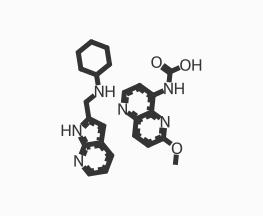 COc1ccc2nccc(NC(=O)O)c2n1.c1cnc2[nH]c(CNC3CCCCC3)cc2c1